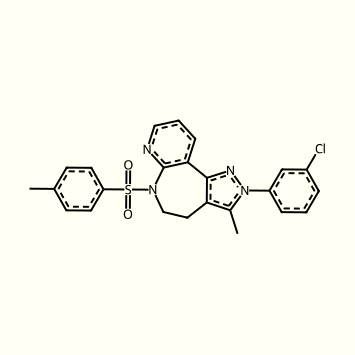 Cc1ccc(S(=O)(=O)N2CCc3c(nn(-c4cccc(Cl)c4)c3C)-c3cccnc32)cc1